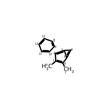 Cc1cc2cc-2c1C.[c]1ccccc1